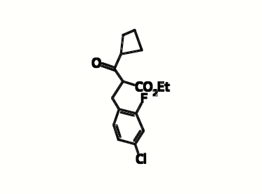 CCOC(=O)C(Cc1ccc(Cl)cc1F)C(=O)C1CCC1